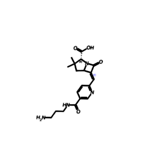 CC1(C)CC2/C(=C\c3ccc(C(=O)NCCCN)cn3)C(=O)N2[C@H]1C(=O)O